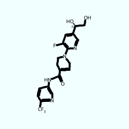 O=C(Nc1ccc(C(F)(F)F)nc1)C1=CCN(c2ncc([C@H](O)CO)cc2F)CC1